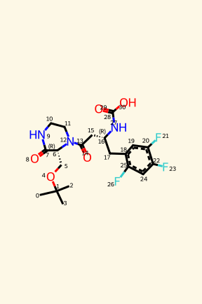 CC(C)(C)OC[C@@H]1C(=O)NCCN1C(=O)C[C@@H](Cc1cc(F)c(F)cc1F)NC(=O)O